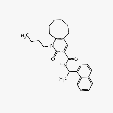 CCCCn1c2c(cc(C(=O)NC(C)c3cccc4ccccc34)c1=O)CCCCCC2